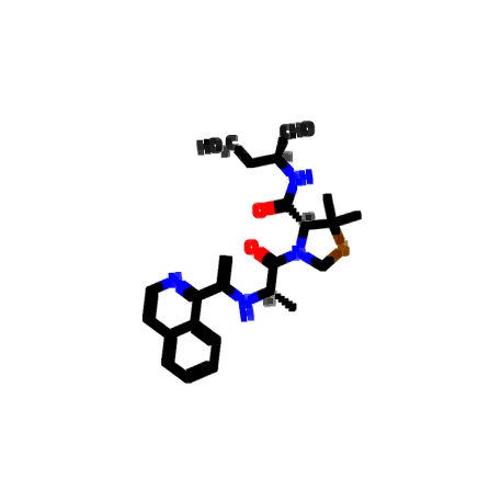 C=C(N[C@@H](C)C(=O)N1CSC(C)(C)[C@H]1C(=O)N[C@H](C=O)CC(=O)O)c1nccc2ccccc12